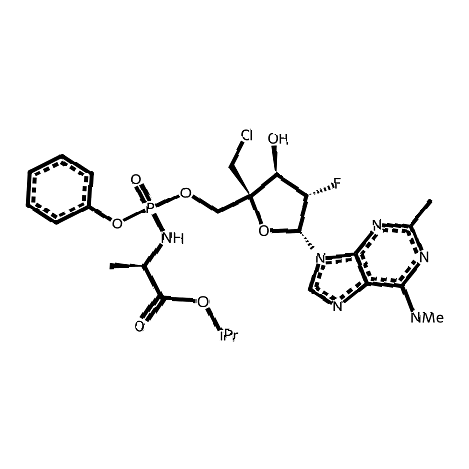 CNc1nc(C)nc2c1ncn2[C@@H]1O[C@](CCl)(COP(=O)(N[C@H](C)C(=O)OC(C)C)Oc2ccccc2)[C@@H](O)[C@@H]1F